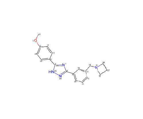 COc1ccc(-c2nc(-c3cccc(CN4CCC4)c3)n[nH]2)cc1